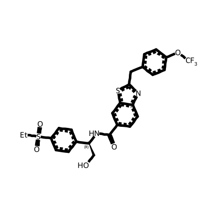 CCS(=O)(=O)c1ccc([C@H](CO)NC(=O)c2ccc3nc(Cc4ccc(OC(F)(F)F)cc4)sc3c2)cc1